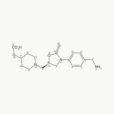 NCc1ccc(N2C[C@@H](CN3CCC(OC(=O)O)CC3)OC2=O)cc1